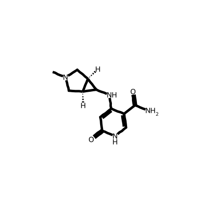 CN1C[C@@H]2C(Nc3cc(=O)[nH]cc3C(N)=O)[C@@H]2C1